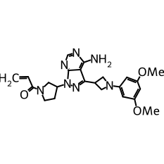 C=CC(=O)N1CCC(n2nc(C3CN(c4cc(OC)cc(OC)c4)C3)c3c(N)ncnc32)C1